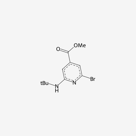 COC(=O)c1cc(Br)nc(NC(C)(C)C)c1